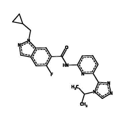 CC(C)n1cnnc1-c1cccc(NC(=O)c2cc3c(cnn3CC3CC3)cc2F)n1